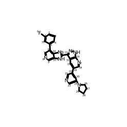 Fc1cccc(-c2cncc3[nH]c(-c4n[nH]c5ncc(-c6cncc(N7CCCC7)c6)cc45)nc23)c1